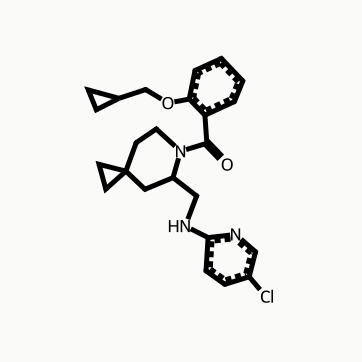 O=C(c1ccccc1OCC1CC1)N1CCC2(CC2)CC1CNc1ccc(Cl)cn1